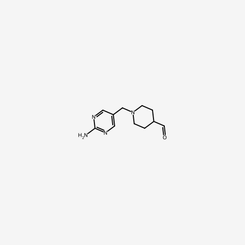 Nc1ncc(CN2CCC(C=O)CC2)cn1